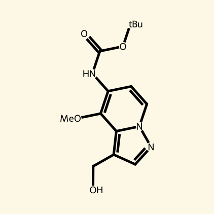 COc1c(NC(=O)OC(C)(C)C)ccn2ncc(CO)c12